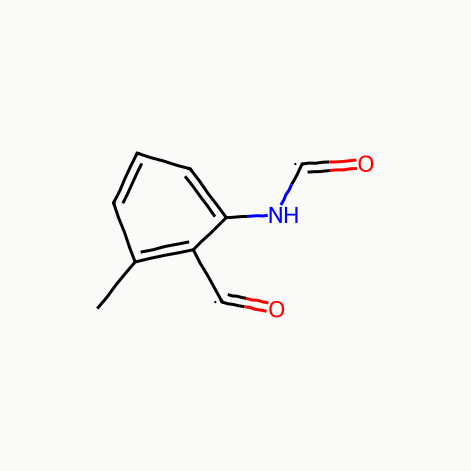 Cc1cccc(N[C]=O)c1[C]=O